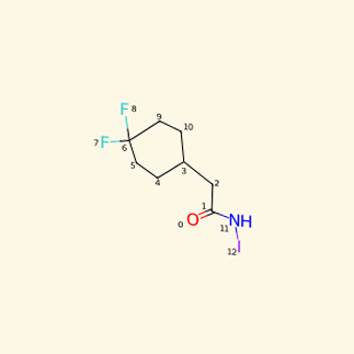 O=C(CC1CCC(F)(F)CC1)NI